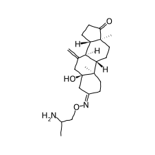 C=C1C[C@@]2(O)C/C(=N\OCC(C)N)CC[C@]2(C)[C@H]2CC[C@]3(C)C(=O)CC[C@H]3[C@H]12